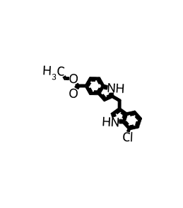 CCOC(=O)c1ccc2[nH]c(Cc3c[nH]c4c(Cl)cccc34)cc2c1